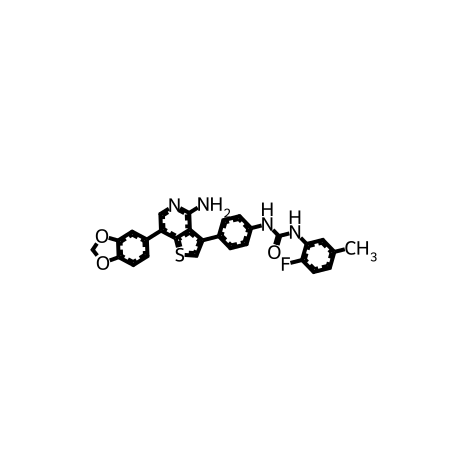 Cc1ccc(F)c(NC(=O)Nc2ccc(-c3csc4c(-c5ccc6c(c5)OCO6)cnc(N)c34)cc2)c1